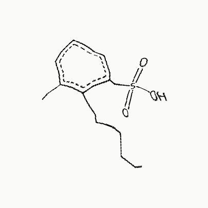 CCCCc1c(C)cccc1S(=O)(=O)O